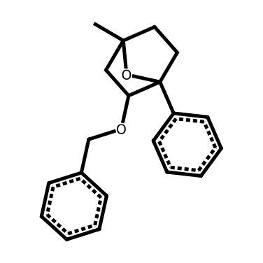 CC12CCC(c3ccccc3)(O1)C(OCc1ccccc1)C2